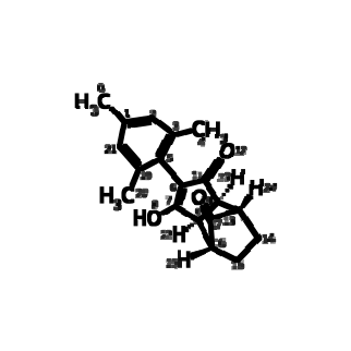 Cc1cc(C)c(C2=C(O)[C@H]3[C@@H](C2=O)[C@@H]2CC[C@H]3C2=O)c(C)c1